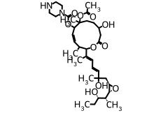 CC[C@H](O)[C@@H](C)[C@H]1O[C@@H]1CC(C)(O)/C=C/C=C(\C)C1OC(=O)CC(O)CCC(C)(OC(C)=O)C(OC(=O)N2CCNCC2)C=CC1C